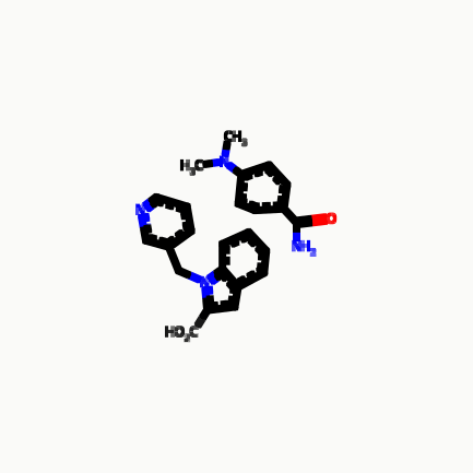 CN(C)c1ccc(C(N)=O)cc1.O=C(O)c1cc2ccccc2n1Cc1cccnc1